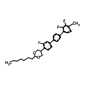 CCCCCCCC1OCC(c2ccc(-c3ccc(-c4ccc(C)c(F)c4F)cc3)cc2F)CO1